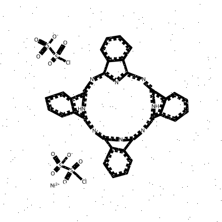 O=S(=O)([O-])S(=O)(=O)Cl.O=S(=O)([O-])S(=O)(=O)Cl.[Ni+2].c1ccc2c(c1)-c1nc-2nc2[nH]c(nc3nc(nc4[nH]c(n1)c1ccccc41)-c1ccccc1-3)c1ccccc21